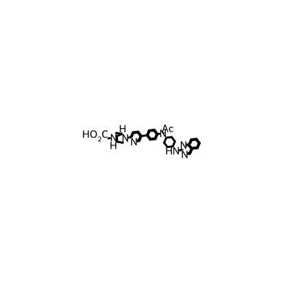 CC(=O)N(c1ccc(-c2ccc(N3C[C@H]4C[C@@H]3CN4CC(=O)O)nc2)cc1)C1CCC(Nc2ncc3ccccc3n2)CC1